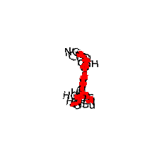 Cc1ncsc1-c1ccc([C@@H](CC(=O)N2CCC(N3CCC(C#Cc4ccc(C(=O)N[C@H]5C(C)(C)[C@H](Oc6ccc(C#N)c(Cl)c6)C5(C)C)cc4)CC3)CC2)NC(=O)[C@@H]2C[C@@H](O)CN2C(=O)[C@@H](NC(=O)C2(F)CC2)C(C)(C)C)cc1